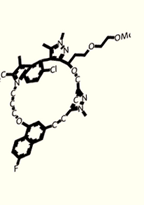 COCCOCCC1OCc2cc(n(C)n2)CCc2cc(c3ccc(F)cc3c2)OCCCn2c(C(=O)O)c(C)c3c(c(Cl)ccc32)-c2c1nn(C)c2C